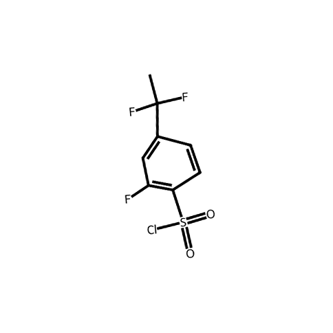 CC(F)(F)c1ccc(S(=O)(=O)Cl)c(F)c1